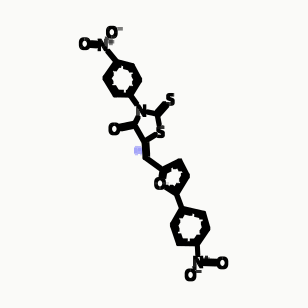 O=C1/C(=C/c2ccc(-c3ccc([N+](=O)[O-])cc3)o2)SC(=S)N1c1ccc([N+](=O)[O-])cc1